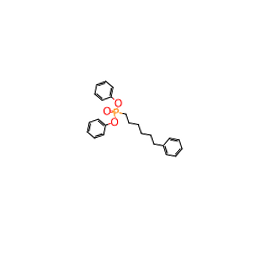 O=P(CCCCCCc1ccccc1)(Oc1ccccc1)Oc1ccccc1